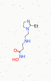 CCC1=NCCN1CCNCCC(=O)NO